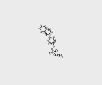 COS(=O)(=O)CC[n+]1ccc(-c2cnc3ccccc3n2)cn1